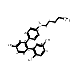 CCCCCOc1ccc(-c2cc(F)ccc2-c2cc(F)ccc2F)cc1